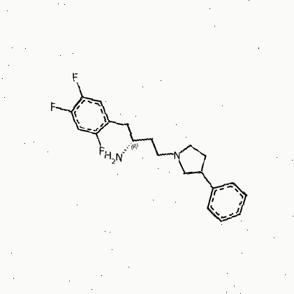 N[C@@H](CCN1CCC(c2ccccc2)C1)Cc1cc(F)c(F)cc1F